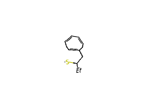 CCC([S])Cc1ccccc1